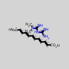 CCCCCCCCC/C=C/C=C/C=C/C=C/C=C/C(=O)O.CN(C)C(=N)NC(=N)N